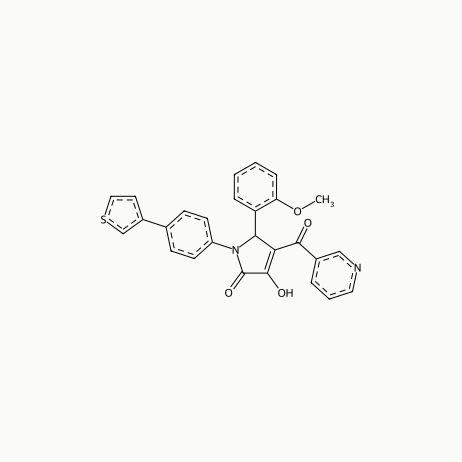 COc1ccccc1C1C(C(=O)c2cccnc2)=C(O)C(=O)N1c1ccc(-c2ccsc2)cc1